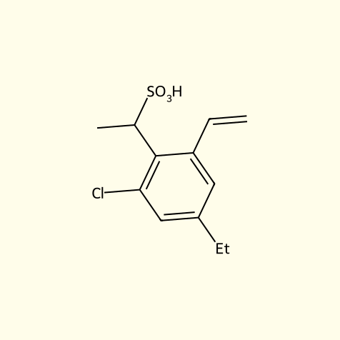 C=Cc1cc(CC)cc(Cl)c1C(C)S(=O)(=O)O